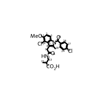 COc1ccc2c(c1Cl)c(CC(=O)NCC(C)C(=O)O)c(C)n2C(=O)c1ccc(Cl)cc1